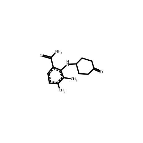 Cc1ccc(C(N)=O)c(NC2CCC(=O)CC2)c1C